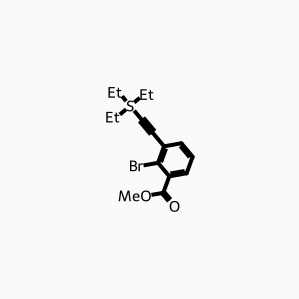 CCS(C#Cc1cccc(C(=O)OC)c1Br)(CC)CC